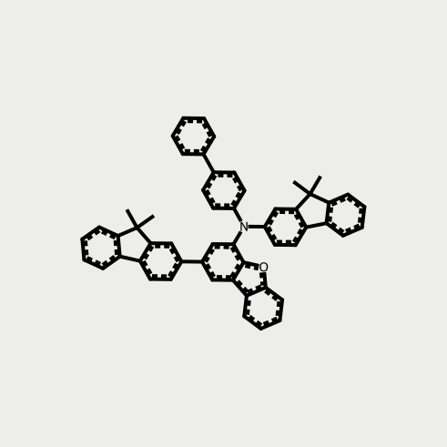 CC1(C)c2ccccc2-c2ccc(-c3cc(N(c4ccc(-c5ccccc5)cc4)c4ccc5c(c4)C(C)(C)c4ccccc4-5)c4oc5ccccc5c4c3)cc21